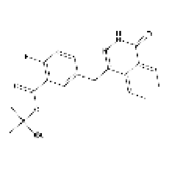 C/C=c1/c(Cc2ccc(F)c(C(=O)OC(C)(C)C(C)(C)C)c2)n[nH]c(=O)/c1=C/C